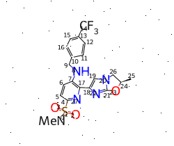 CNS(=O)(=O)c1ccc(NCc2ccc(C(F)(F)F)cc2)c(-c2cn3c(n2)O[C@H](C)C3)n1